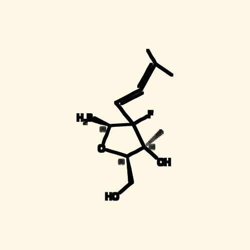 B[C@@H]1O[C@H](CO)[C@](C)(O)C1(F)C=C=C(C)C